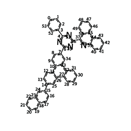 c1ccc(-c2nc(-c3ccc4c5ccc(-c6ccc7ccccc7c6)cc5c5ccccc5c4c3)nc(-c3nc4ccccc4c4ccccc34)n2)cc1